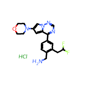 Cl.NCc1ccc(-c2ncnn3cc(N4CCOCC4)cc23)cc1CC(F)F